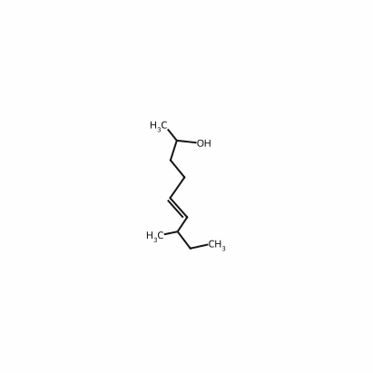 CCC(C)C=CCCC(C)O